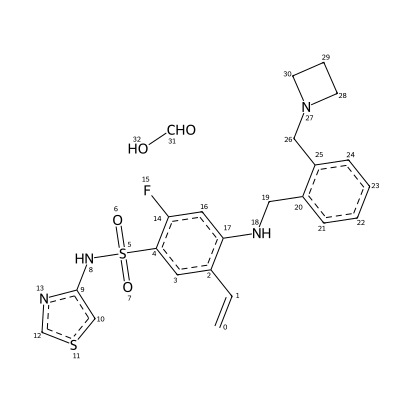 C=Cc1cc(S(=O)(=O)Nc2cscn2)c(F)cc1NCc1ccccc1CN1CCC1.O=CO